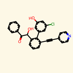 O=C(c1ccccc1)C(O)c1cccc(C#Cc2ccncc2)c1-c1cc(O)cc(Cl)c1